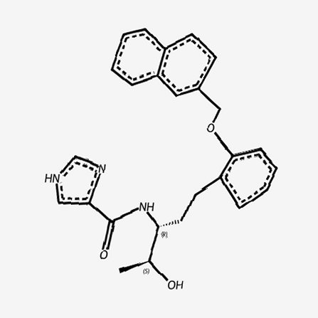 C[C@H](O)[C@@H](CCc1ccccc1OCc1ccc2ccccc2c1)NC(=O)c1c[nH]cn1